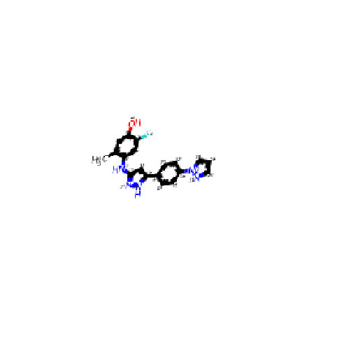 Cc1cc(O)c(F)cc1Nc1cc(-c2ccc(-n3cccn3)cc2)[nH]n1